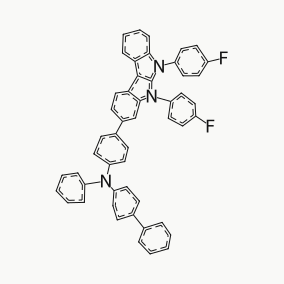 Fc1ccc(-n2c3ccccc3c3c4ccc(-c5ccc(N(c6ccccc6)c6ccc(-c7ccccc7)cc6)cc5)cc4n(-c4ccc(F)cc4)c32)cc1